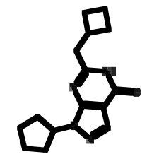 O=c1[nH]c(CC2CCC2)nc2c1cnn2C1CCCC1